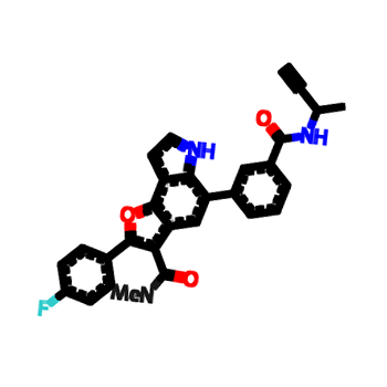 C#CC(C)NC(=O)c1cccc(-c2cc3c(C(=O)NC)c(-c4ccc(F)cc4)oc3c3cc[nH]c23)c1